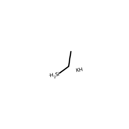 CC[SiH2].[KH]